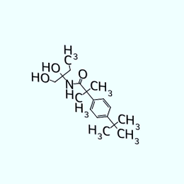 CCC(O)(CO)NC(=O)C(C)(C)c1ccc(C(C)(C)C)cc1